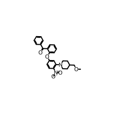 COCC1CCN(c2cc(Oc3ccccc3C(=O)c3ccccc3)ccc2[N+](=O)[O-])CC1